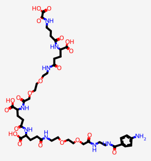 Nc1ccc(C(=O)NCCNC(=O)COCCOCCNC(=O)CCC(NC(=O)CCC(NC(=O)COCCOCCNC(=O)CCC(NC(=O)CCCNC(=O)C(=O)O)C(=O)O)C(=O)O)C(=O)O)cc1